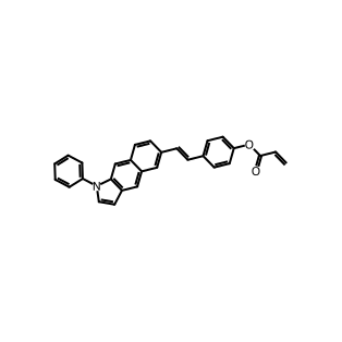 C=CC(=O)Oc1ccc(C=Cc2ccc3cc4c(ccn4-c4ccccc4)cc3c2)cc1